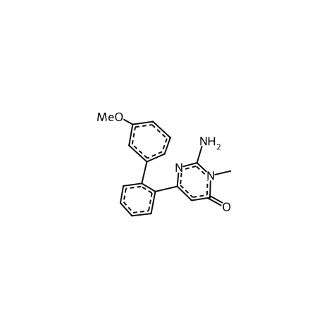 COc1cccc(-c2ccccc2-c2cc(=O)n(C)c(N)n2)c1